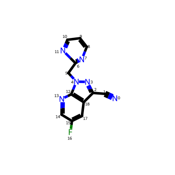 N#Cc1nn(Cc2ncccn2)c2ncc(F)cc12